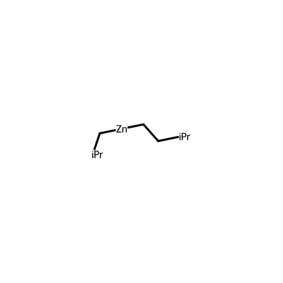 CC(C)C[CH2][Zn][CH2]C(C)C